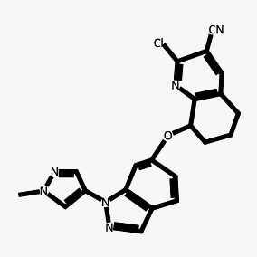 Cn1cc(-n2ncc3ccc(OC4CCCc5cc(C#N)c(Cl)nc54)cc32)cn1